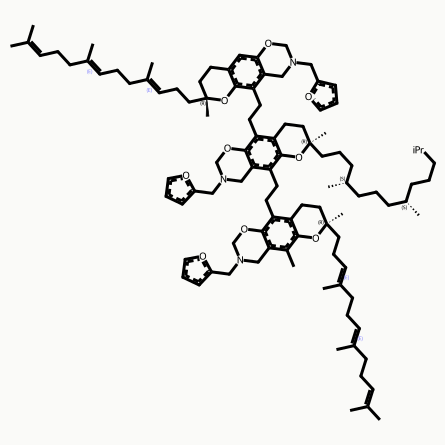 CC(C)=CCC/C(C)=C/CC/C(C)=C/CC[C@]1(C)CCc2cc3c(c(CCc4c5c(c(CCc6c7c(c(C)c8c6OCN(Cc6ccco6)C8)O[C@](C)(CC/C=C(\C)CC/C=C(\C)CCC=C(C)C)CC7)c6c4OCN(Cc4ccco4)C6)O[C@](C)(CCC[C@@H](C)CCC[C@@H](C)CCCC(C)C)CC5)c2O1)CN(Cc1ccco1)CO3